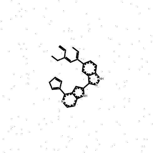 C=C/C(=C\C(=C/C)c1ccc2[nH]nc(-c3cc4c(C5=CCC=C5)nccc4[nH]3)c2c1)CC